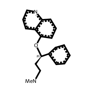 CNCC[C@@H](Oc1cccc2ncccc12)c1ccccc1